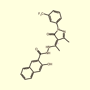 CC1=NN(c2cccc(C(F)(F)F)c2)C(=O)/C1=C(/C)NNC(=O)c1cc2ccccc2cc1O